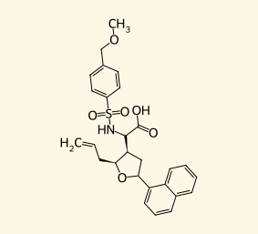 C=CC[C@@H]1OC(c2cccc3ccccc23)C[C@@H]1C(NS(=O)(=O)c1ccc(COC)cc1)C(=O)O